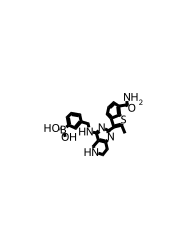 Cc1sc2c(C(N)=O)cccc2c1-c1nc2c(c(NCc3cccc(B(O)O)c3)n1)CNCC2